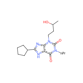 CCCn1c(=O)c2[nH]c(C3CCCC3)nc2n(CCC(C)O)c1=O